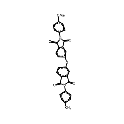 COc1ccc(N2C(=O)c3ccc(Oc4ccc5c(c4)C(=O)N(c4ccc(C)cc4)C5=O)cc3C2=O)cc1